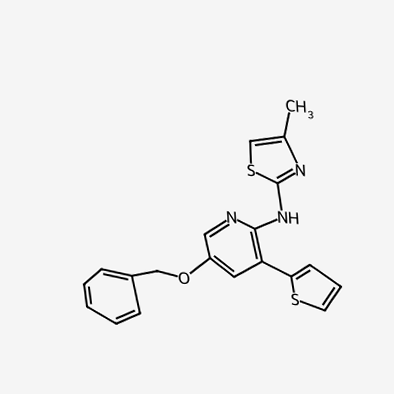 Cc1csc(Nc2ncc(OCc3ccccc3)cc2-c2cccs2)n1